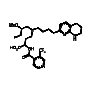 COC(CF)CN(CCCCc1ccc2c(n1)NCCC2)CCC(NC(=O)c1ccncc1C(F)(F)F)C(=O)O